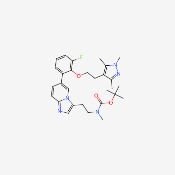 Cc1nn(C)c(C)c1CCOc1c(F)cccc1-c1ccc2ncc(CCN(C)C(=O)OC(C)(C)C)n2c1